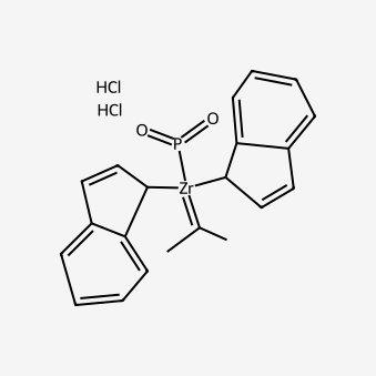 C[C](C)=[Zr]([CH]1C=Cc2ccccc21)([CH]1C=Cc2ccccc21)[P](=O)=O.Cl.Cl